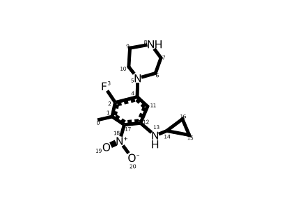 Cc1c(F)c(N2CCNCC2)cc(NC2CC2)c1[N+](=O)[O-]